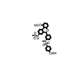 COc1ccc(S(=O)(=O)N(C)c2cccc(C3Oc4cccc(OC)c4-c4ccc(NS(C)(=O)=O)cc43)c2)cc1